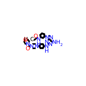 C=CC(=O)Nc1cccc(-n2cnc3c(N)nc(Nc4ccc(N5CCN(C(=O)N6CCOCC6)CC5)cc4)nc32)c1